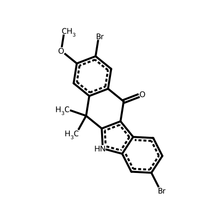 COc1cc2c(cc1Br)C(=O)c1c([nH]c3cc(Br)ccc13)C2(C)C